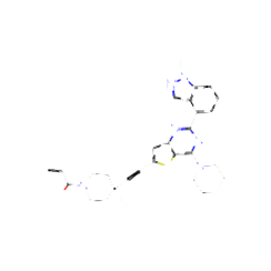 C=CC(=O)N1CCC(O)(C#Cc2cc3nc(-c4cccc5[nH]ncc45)nc(N4CCOCC4)c3s2)CC1